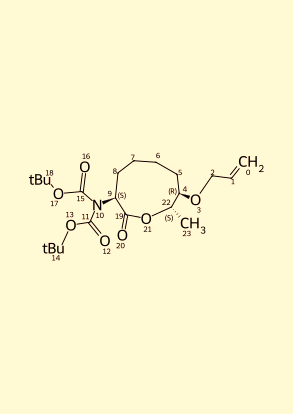 C=CCO[C@@H]1CCCC[C@H](N(C(=O)OC(C)(C)C)C(=O)OC(C)(C)C)C(=O)O[C@H]1C